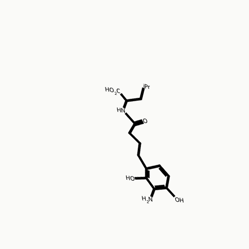 CC(C)CC(NC(=O)CCCc1ccc(O)c(N)c1O)C(=O)O